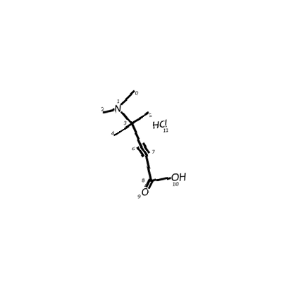 CN(C)C(C)(C)C#CC(=O)O.Cl